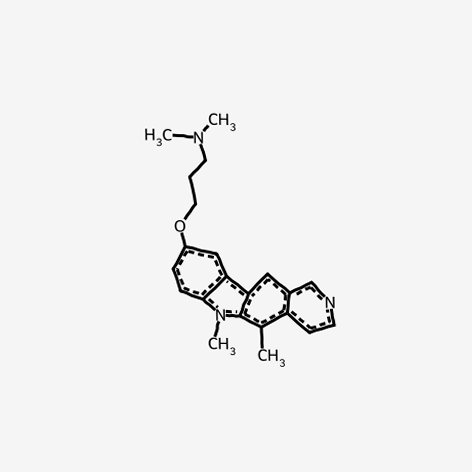 Cc1c2ccncc2cc2c3cc(OCCCN(C)C)ccc3n(C)c12